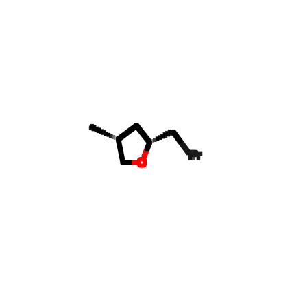 CC(C)C[C@H]1C[C@@H](C)CO1